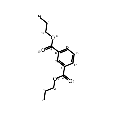 CCCOC(=O)c1[c]c(C(=O)OCCC)ccc1